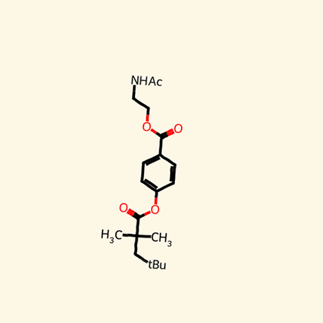 CC(=O)NCCOC(=O)c1ccc(OC(=O)C(C)(C)CC(C)(C)C)cc1